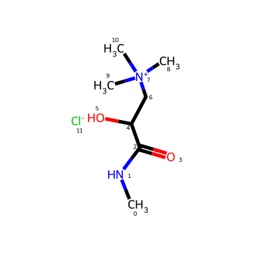 CNC(=O)C(O)C[N+](C)(C)C.[Cl-]